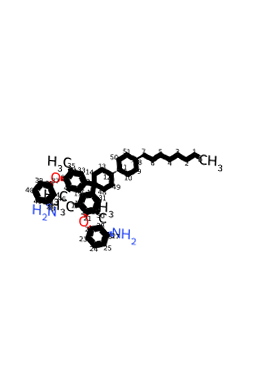 CCCCCCCC[C@H]1CC[C@H](C2CCC(c3cc(C)c(Oc4cccc(N)c4)c(C)c3)(c3cc(C)c(Oc4cccc(N)c4)c(C)c3)CC2)CC1